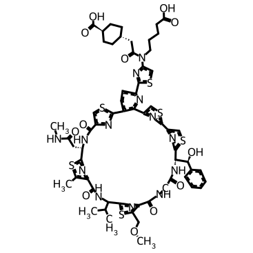 CNC(=O)C[C@@H]1NC(=O)c2csc(n2)-c2ccc(-c3nc(N(CCCCC(=O)O)C(=O)C[C@H]4CC[C@H](C(=O)O)CC4)cs3)nc2-c2csc(n2)-c2csc(n2)[C@H]([C@@H](O)c2ccccc2)NC(=O)CNC(=O)c2nc(sc2COC)C(C(C)C)NC(=O)c2nc1sc2C